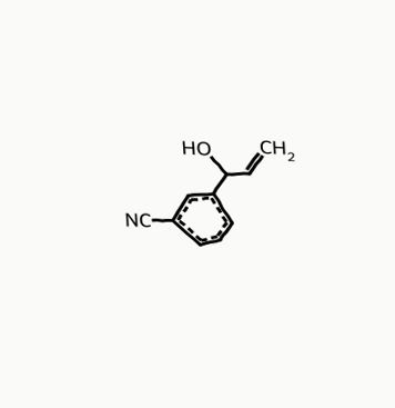 C=CC(O)c1cccc(C#N)c1